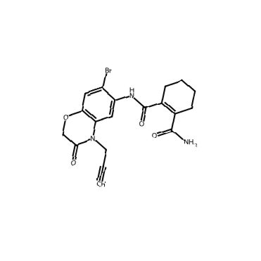 C#CCN1C(=O)COc2cc(Br)c(NC(=O)C3=C(C(N)=O)CCCC3)cc21